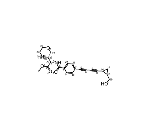 COC(=O)[C@@H](NC(=O)c1ccc(C#CC#CC2CC2CO)cc1)[C@H]1COCCN1